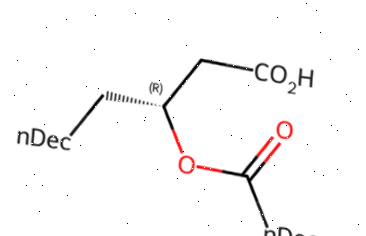 CCCCCCCCCCC[C@H](CC(=O)O)OC(=O)CCCCCCCCCC